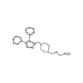 O=C(O)COCC1CCC(Cn2ncc(-c3ccccc3)c2-c2ccccc2)CC1